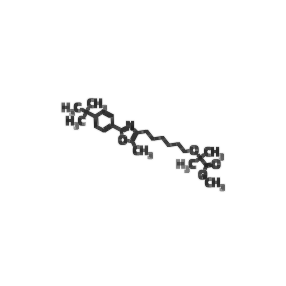 COC(=O)C(C)(C)OCCCCCCc1nc(-c2ccc(C(C)(C)C)cc2)oc1C